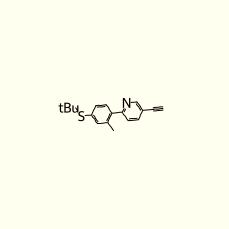 C#Cc1ccc(-c2ccc(SC(C)(C)C)cc2C)nc1